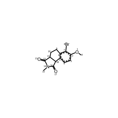 COc1ccc2c(c1Br)CCC1C(=O)N(C)C(=O)C21